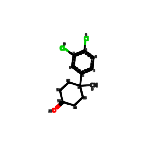 N#CC1(c2ccc(Cl)c(Cl)c2)CCC(=O)CC1